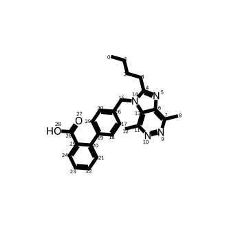 CCCCc1nc2c(C)nnc(C)c2n1Cc1ccc(-c2ccccc2C(=O)O)cc1